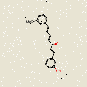 COc1cccc(C=CC=CC(=O)C=Cc2cccc(O)c2)c1